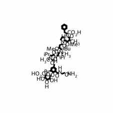 CCC(C)[C@@H]([C@@H](CC(=O)N1CCC[C@H]1[C@H](OC)[C@@H](C)C(=O)NC(Cc1ccccc1)C(=O)O)OC)N(C)C(=O)[C@@H](NC(=O)[C@H](C(C)C)N(C)C(=O)OCc1cc(Br)c(O[C@@H]2O[C@H](C(=O)O)[C@@H](O)[C@H](O)[C@H]2O)c(C(=O)NCCON)c1)C(C)C